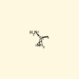 C[SiH](N)N